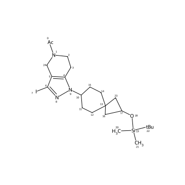 CC(=O)N1CCc2c(c(I)nn2C2CCC3(CC2)CC(O[Si](C)(C)C(C)(C)C)C3)C1